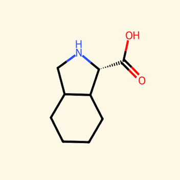 O=C(O)[C@H]1NCC2CCCCC21